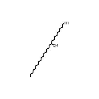 CCCCCCCCCCCCCCCCC(O)CCCCCCCCCO